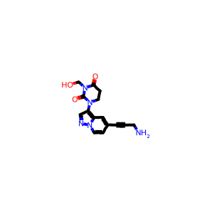 NCC#Cc1ccn2ncc(N3CCC(=O)N(CO)C3=O)c2c1